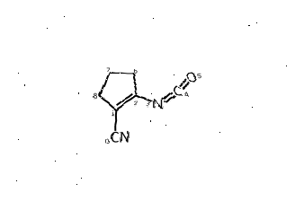 N#CC1=C(N=C=O)CCC1